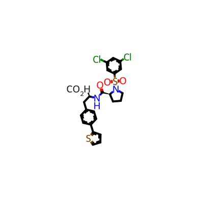 O=C(O)[C@H](Cc1ccc(-c2cccs2)cc1)NC(=O)[C@@H]1CCCN1S(=O)(=O)c1cc(Cl)cc(Cl)c1